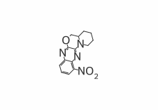 O=[N+]([O-])c1cccc2nc3c(nc12)N1CCCCC1CO3